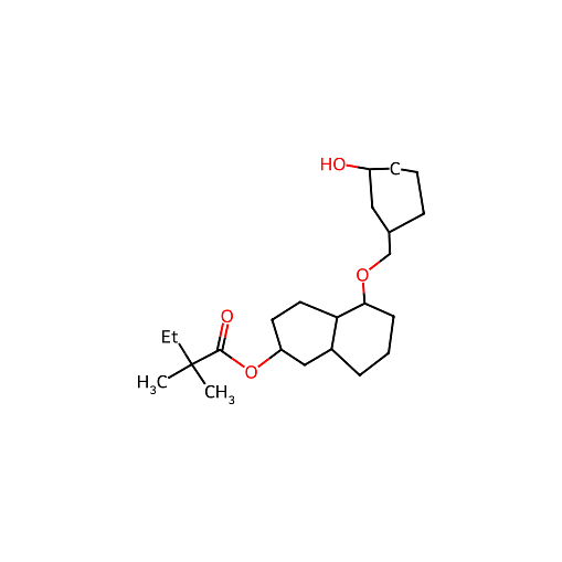 CCC(C)(C)C(=O)OC1CCC2C(CCCC2OCC2CCCC(O)C2)C1